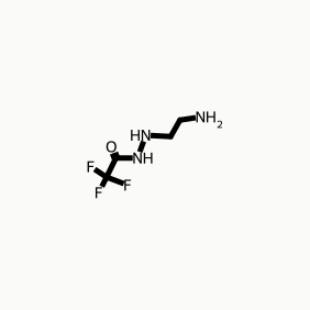 NCCNNC(=O)C(F)(F)F